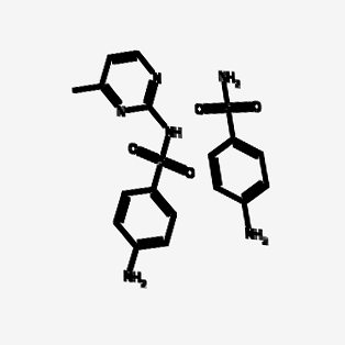 Cc1ccnc(NS(=O)(=O)c2ccc(N)cc2)n1.Nc1ccc(S(N)(=O)=O)cc1